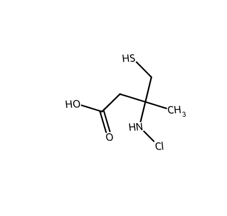 CC(CS)(CC(=O)O)NCl